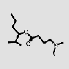 CCCC(OC(=O)CCCN(C)I)C(C)C